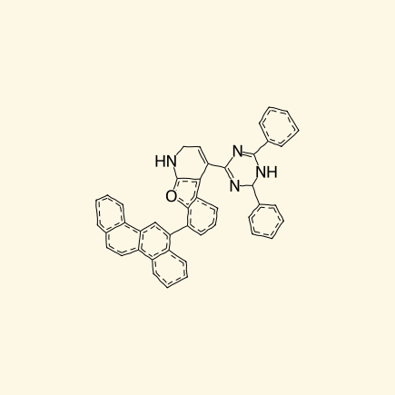 C1=C(C2=NC(c3ccccc3)NC(c3ccccc3)=N2)c2c(oc3c(-c4cc5c6ccccc6ccc5c5ccccc45)cccc23)NC1